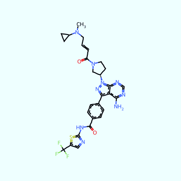 CN(CC=CC(=O)N1CC[C@@H](n2nc(-c3ccc(C(=O)Nc4ncc(C(F)(F)F)s4)cc3)c3c(N)ncnc32)C1)C1CC1